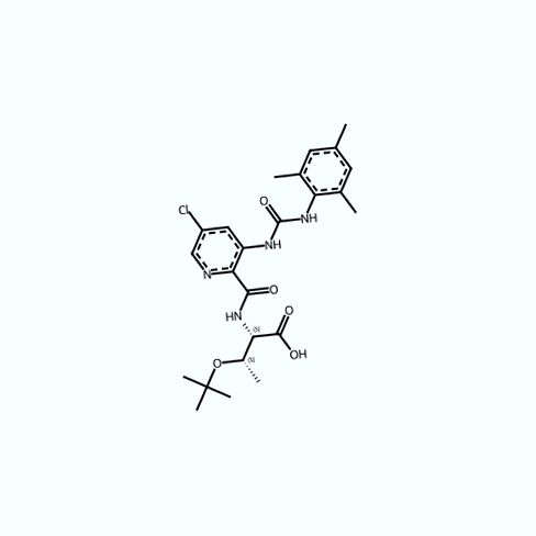 Cc1cc(C)c(NC(=O)Nc2cc(Cl)cnc2C(=O)N[C@H](C(=O)O)[C@H](C)OC(C)(C)C)c(C)c1